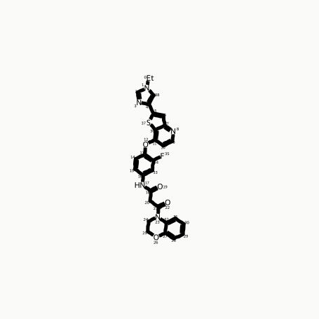 CCn1cnc(-c2cc3nccc(Oc4ccc(NC(=O)CC(=O)N5CCOc6ccccc65)cc4F)c3s2)c1